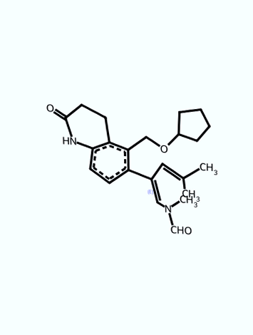 CC(C)=C/C(=C\N(C)C=O)c1ccc2c(c1COC1CCCC1)CCC(=O)N2